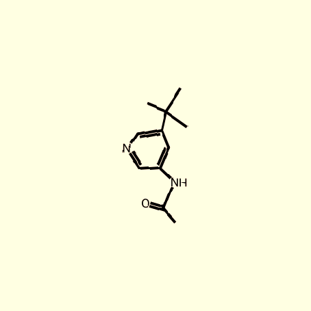 CC(=O)Nc1cncc(C(C)(C)C)c1